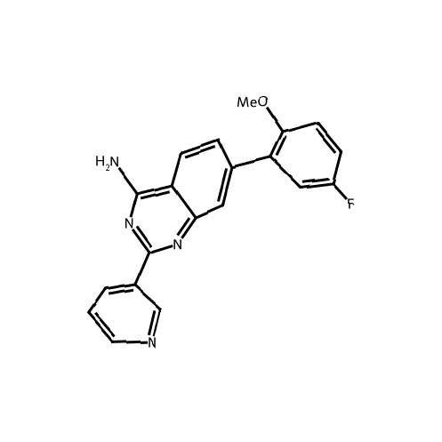 COc1ccc(F)cc1-c1ccc2c(N)nc(-c3cccnc3)nc2c1